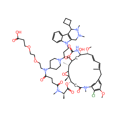 COc1cc2cc(c1Cl)N(C)C(=O)C[C@H](OC(=O)[C@@H](C)N(C)C(=O)CCC(=O)N(CCOCCOCCC(=O)O)C1CCN(C(=O)CCn3c4c(c5ccccc53)C(C3CCC3)N(C)N(C)C4)CC1)[C@]1(C)OC1[C@H](C)[C@@H]1C[C@@](O)(NC(=O)O1)[C@H](OC)/C=C/C=C(\C)C2